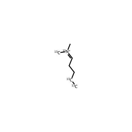 C/[15N+]([13CH3])=C/CC[13CH2][13CH3]